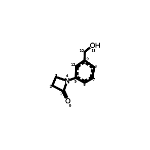 O=C1CCN1c1cccc(CO)c1